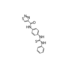 O=C(Nc1ccc(NC(=S)Nc2ccccc2)cc1)c1csnn1